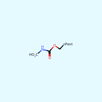 CCCCCCOC(=O)NC(=O)O